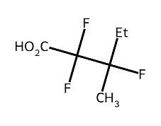 CCC(C)(F)C(F)(F)C(=O)O